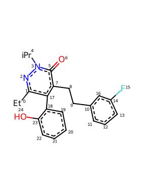 CCc1nn(C(C)C)c(=O)c(CCc2cccc(F)c2)c1-c1ccccc1O